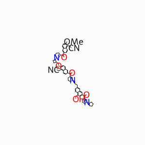 COc1ccc2cc(C(=O)C3CCCN(C4CCC4COc4ccc5cc(C(=O)C6CCCN(CCCc7ccc8c(CO)cc(C(=O)C9CCCN(C%10CCCC%10)C9)cc8c7)C6)ccc5c4CC#N)C3)ccc2c1CC#N